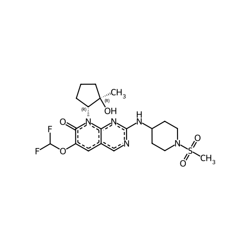 C[C@@]1(O)CCC[C@H]1n1c(=O)c(OC(F)F)cc2cnc(NC3CCN(S(C)(=O)=O)CC3)nc21